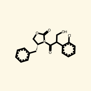 O=C1OC[C@@H](Cc2ccccc2)N1C(=O)C(CO)c1ccccc1Cl